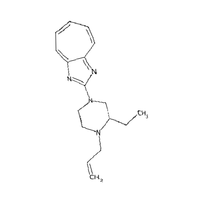 C=CCN1CCN(c2nc3cccccc-3n2)CC1CC